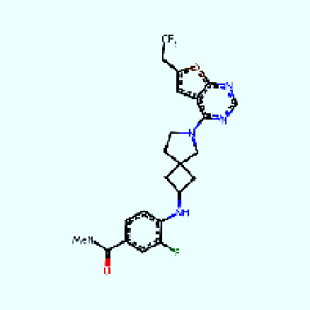 CNC(=O)c1ccc(NC2CC3(CCN(c4ncnc5sc(CC(F)(F)F)cc45)C3)C2)c(F)c1